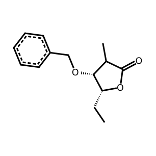 CC[C@H]1OC(=O)C(C)[C@H]1OCc1ccccc1